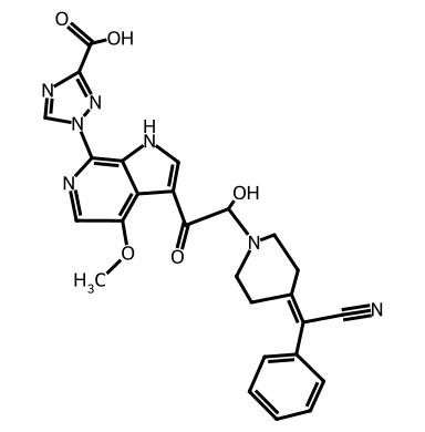 COc1cnc(-n2cnc(C(=O)O)n2)c2[nH]cc(C(=O)C(O)N3CCC(=C(C#N)c4ccccc4)CC3)c12